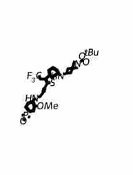 COc1cc(P(C)(C)=O)ccc1NCC#Cc1sc2c(NC3CC4(C3)CN(C(=O)OC(C)(C)C)C4)cccc2c1CC(F)(F)F